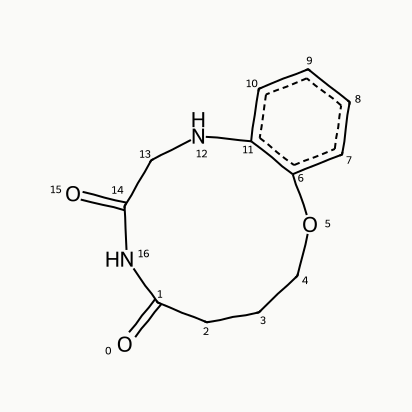 O=C1CCCOc2ccccc2NCC(=O)N1